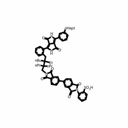 CCCCCCCc1cccc(C2=C3C(=O)NC(c4ccccc4CC(CC)(CCCC)C(CCC)(CCC)CN4C(=O)c5ccc(-c6ccc7c(c6)C(=O)N(c6ccccc6S(=O)(=O)O)C7=O)cc5C4=O)=C3C(=O)N2)c1